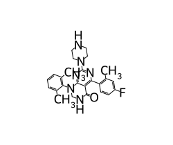 Cc1cc(F)ccc1-c1nc(N2CCNCC2)nc2c1C(=O)NCN2c1c(C)cccc1C